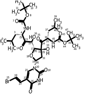 CC(C)C[C@H](NC(=O)OC(C)(C)C)C(=O)C(O)[C@H]1O[C@@H](n2cc(C=CBr)c(=O)[nH]c2=O)C[C@@]1(O)C(=O)[C@H](CC(C)C)NC(=O)OC(C)(C)C